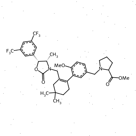 COC(=O)C1CCCN1Cc1ccc(OC)c(C2=C(CN3C(=O)O[C@H](c4cc(C(F)(F)F)cc(C(F)(F)F)c4)[C@@H]3C)CC(C)(C)CC2)c1